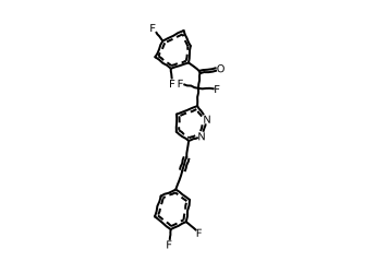 O=C(c1ccc(F)cc1F)C(F)(F)c1ccc(C#Cc2ccc(F)c(F)c2)nn1